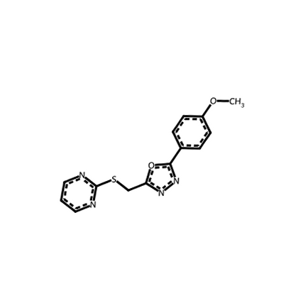 COc1ccc(-c2nnc(CSc3ncccn3)o2)cc1